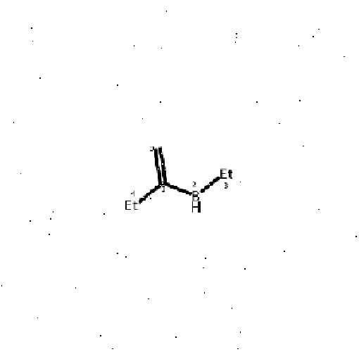 C=C(BCC)CC